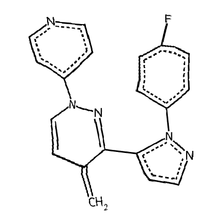 C=C1C=CN(c2ccncc2)N=C1c1ccnn1-c1ccc(F)cc1